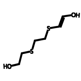 OC=CSCCSCCO